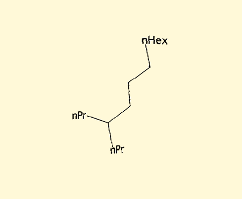 CCCCCCCCCC(CCC)CCC